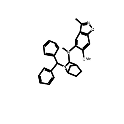 COc1cc2onc(C)c2cc1N(C)C1C2CCC(C2)N1C(c1ccccc1)c1ccccc1